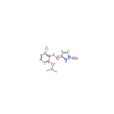 CC(C)Oc1cccc(Cl)c1COc1ccn(O)n1